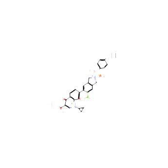 Cc1ccc(S(=O)(=O)N2Cc3ccc(-c4ccc5c(=O)c(C(=O)O)cn(C6CC6)c5c4OC(F)F)cc3C2)cc1